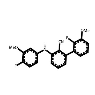 COc1cc(Nc2cccc(-c3cccc(OC)c3F)c2C#N)ccc1F